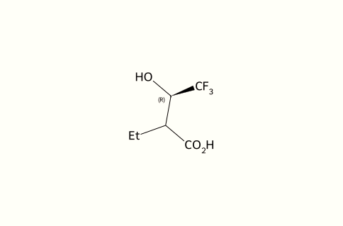 CCC(C(=O)O)[C@@H](O)C(F)(F)F